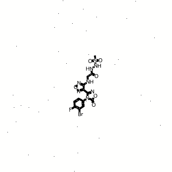 CS(=O)(=O)NNC(=O)CNc1nonc1-c1noc(=O)n1-c1ccc(F)c(Br)c1